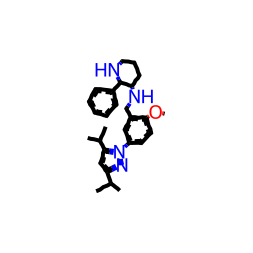 COc1ccc(-n2nc(C(C)C)cc2C(C)C)cc1CNC1CCCNC1c1ccccc1